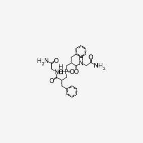 NC(=O)CNC(=O)C(Cc1ccccc1)CP(=O)(O)CC(Cc1ccccc1)C(=O)NCC(N)=O